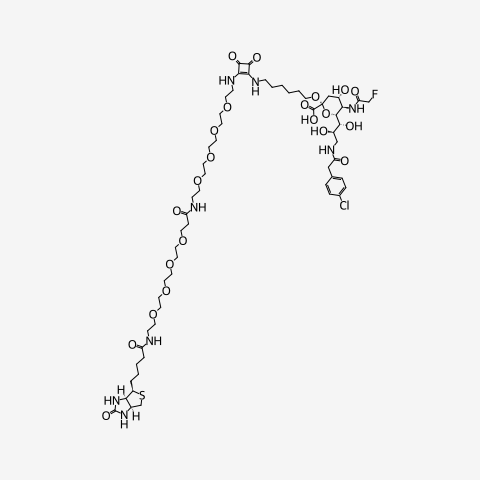 O=C(CCCC[C@H]1SC[C@H]2NC(=O)N[C@H]21)NCCOCCOCCOCCOCCC(=O)NCCOCCOCCOCCOCCNc1c(NCCCCCCO[C@]2(C(=O)O)C[C@H](O)[C@@H](NC(=O)CF)[C@H]([C@H](O)[C@H](O)CNC(=O)Cc3ccc(Cl)cc3)O2)c(=O)c1=O